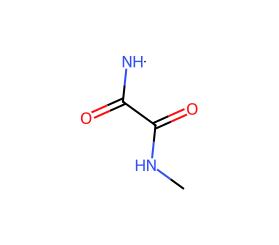 CNC(=O)C([NH])=O